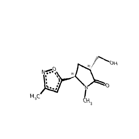 Cc1cc([C@H]2C[C@H](CO)C(=O)N2C)on1